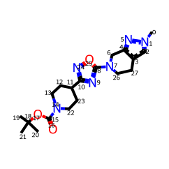 Cn1cc2c(n1)CN(c1nc(C3CCN(C(=O)OC(C)(C)C)CC3)no1)CC2